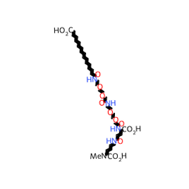 CN[C@@H](CCCCNC(=O)CC[C@H](NC(=O)COCCOCCNC(=O)COCCOCCNC(=O)CCCCCCCCCCCCCCCCC(=O)O)C(=O)O)C(=O)O